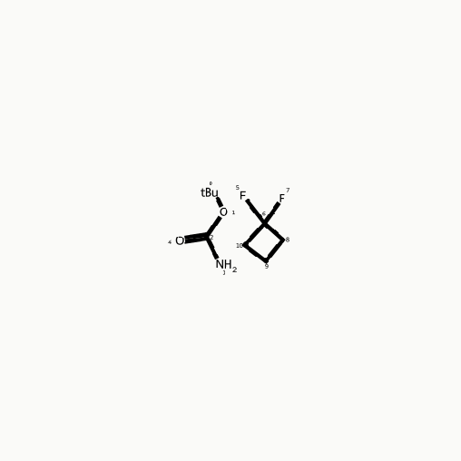 CC(C)(C)OC(N)=O.FC1(F)CCC1